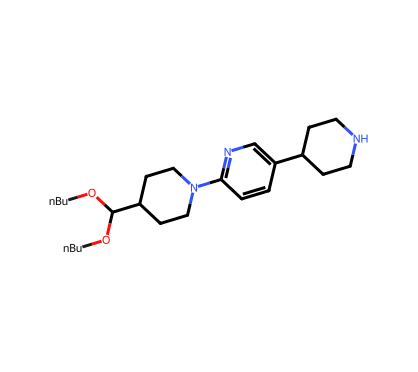 CCCCOC(OCCCC)C1CCN(c2ccc(C3CCNCC3)cn2)CC1